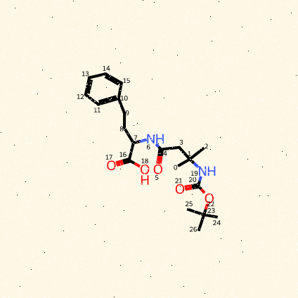 CC(C)(CC(=O)NC(CCc1ccccc1)C(=O)O)NC(=O)OC(C)(C)C